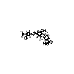 Cc1cc(C2CN(c3ccc(C4CC4)c(Cl)c3)C2)cc(C)c1CN1CCC(C(=O)O)CC1